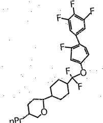 CCCC1CCC(C2CCC(C(F)(F)Oc3ccc(-c4cc(F)c(F)c(F)c4)c(F)c3)CC2)OC1